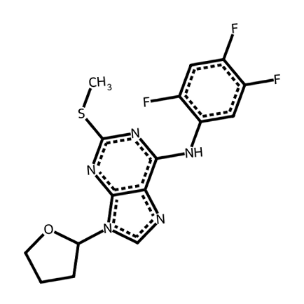 CSc1nc(Nc2cc(F)c(F)cc2F)c2ncn(C3CCCO3)c2n1